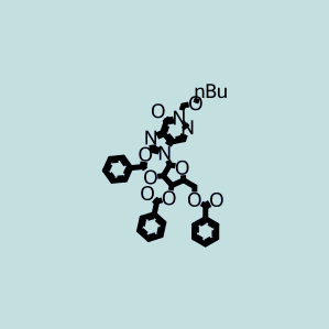 CCCCOCn1ncc2c(ncn2C2OC(COC(=O)c3ccccc3)C(OC(=O)c3ccccc3)C2OC(=O)c2ccccc2)c1=O